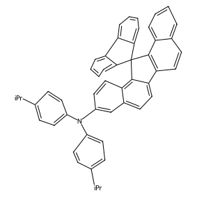 CC(C)c1ccc(N(c2ccc(C(C)C)cc2)c2ccc3c4c(ccc3c2)-c2ccc3ccccc3c2C42c3ccccc3-c3ccccc32)cc1